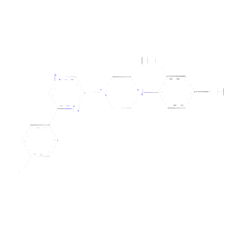 Cc1ccc(N2CCN(c3cncc(-c4ccc(C(F)(F)F)cc4)n3)CC2)c(C)c1